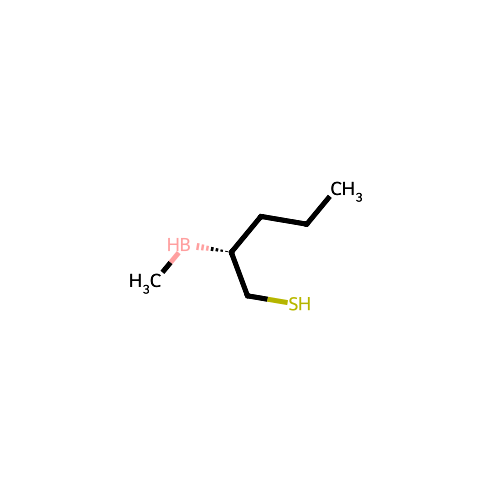 CB[C@@H](CS)CCC